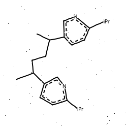 CC(C)c1ccc(C(C)CCC(C)c2ccc(C(C)C)nc2)cn1